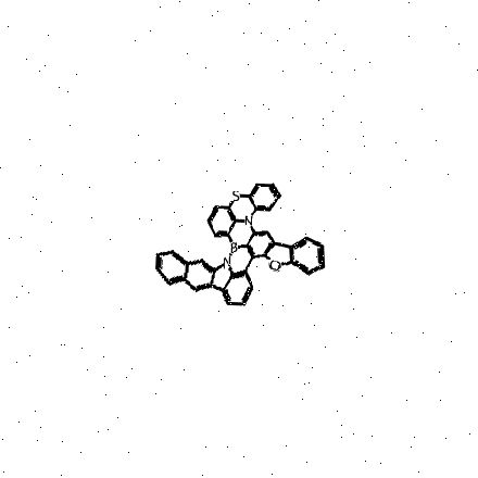 c1ccc2c(c1)Sc1cccc3c1N2c1cc2c(oc4ccccc42)c2c1B3n1c3cc4ccccc4cc3c3cccc-2c31